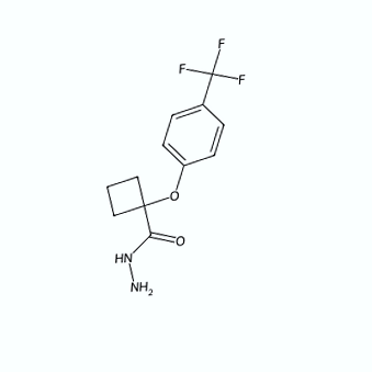 NNC(=O)C1(Oc2ccc(C(F)(F)F)cc2)CCC1